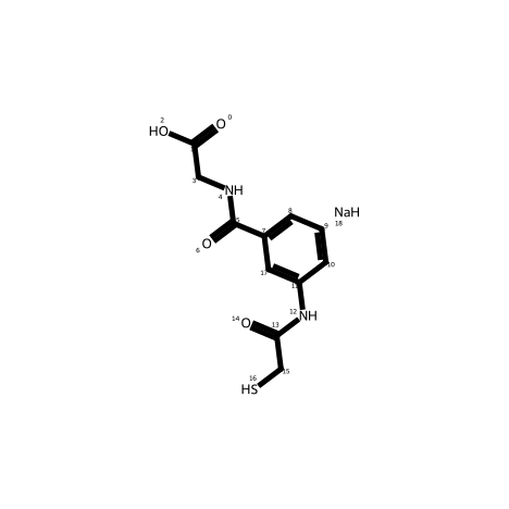 O=C(O)CNC(=O)c1cccc(NC(=O)CS)c1.[NaH]